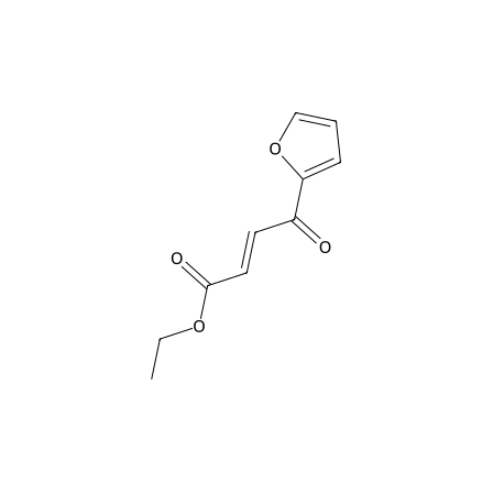 CCOC(=O)C=CC(=O)c1ccco1